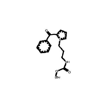 CC(C)(C)OC(=O)NCCCn1cccc1C(=O)c1ccccc1